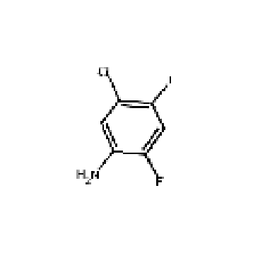 Nc1cc(Cl)c(F)cc1F